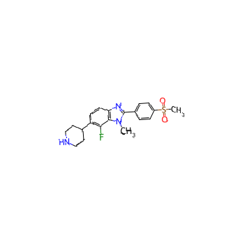 Cn1c(-c2ccc(S(C)(=O)=O)cc2)nc2ccc(C3CCNCC3)c(F)c21